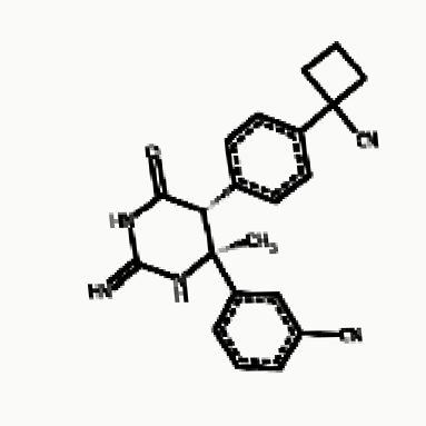 C[C@]1(c2cccc(C#N)c2)NC(=N)NC(=O)[C@@H]1c1ccc(C2(C#N)CCC2)cc1